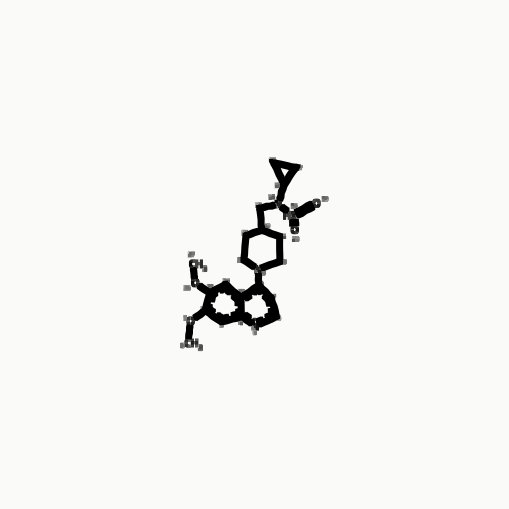 COc1cc2nccc(N3CCC(CN(C4CC4)[SH](=O)=O)CC3)c2cc1OC